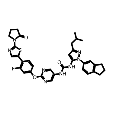 CC(C)Cc1cc(NC(=O)Nc2cnc(Oc3ccc(-c4cnc(N5CCCC5=O)s4)c(F)c3)nc2)n(-c2ccc3c(c2)CCC3)n1